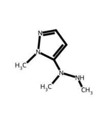 CNN(C)c1ccnn1C